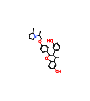 CC1C(c2cccc(O)c2)=C(c2ccc(OC[C@H](C)N3CCC[C@H]3C)cc2)Oc2ccc(O)cc21